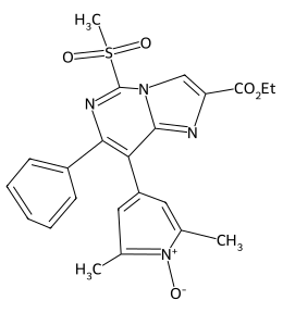 CCOC(=O)c1cn2c(S(C)(=O)=O)nc(-c3ccccc3)c(-c3cc(C)[n+]([O-])c(C)c3)c2n1